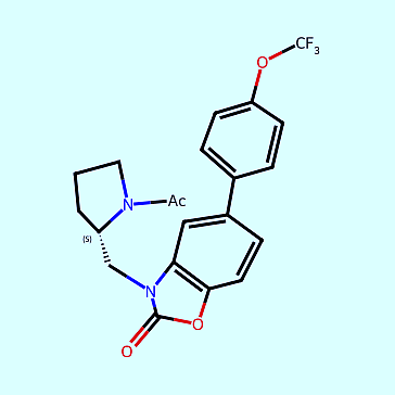 CC(=O)N1CCC[C@H]1Cn1c(=O)oc2ccc(-c3ccc(OC(F)(F)F)cc3)cc21